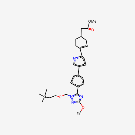 CCOc1nc(-c2ccc(-c3ccc(C4=CCC(CC(=O)OC)CC4)nc3)cc2)n(COCC[Si](C)(C)C)n1